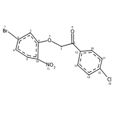 O=C(COc1cc(Br)ccc1[N+](=O)[O-])c1ccc(Cl)cc1